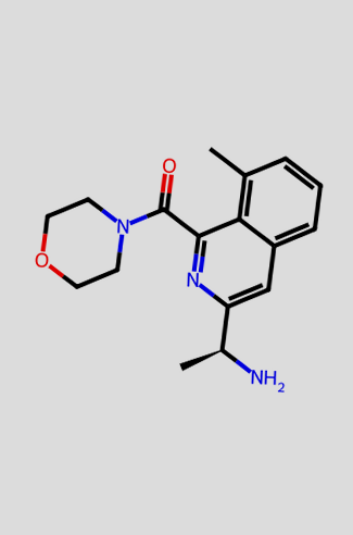 Cc1cccc2cc([C@H](C)N)nc(C(=O)N3CCOCC3)c12